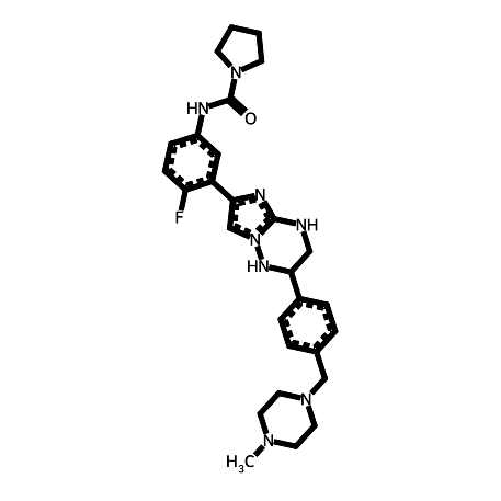 CN1CCN(Cc2ccc(C3CNc4nc(-c5cc(NC(=O)N6CCCC6)ccc5F)cn4N3)cc2)CC1